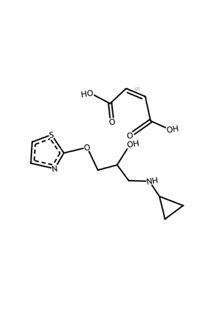 O=C(O)/C=C\C(=O)O.OC(CNC1CC1)COc1nccs1